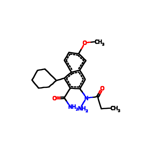 CCC(=O)N(N)c1cc2cc(OC)ccc2c(C2CCCCC2)c1C(N)=O